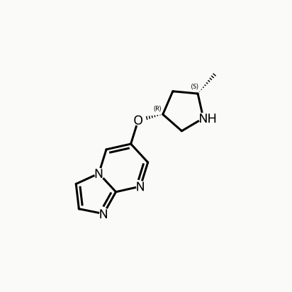 C[C@H]1C[C@@H](Oc2cnc3nccn3c2)CN1